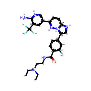 CCN(CC)CCNC(=O)c1ccc(-c2cnc3ccc(-c4cnc(N)c(C(F)(F)F)c4)nn23)cc1F